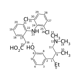 CCC(c1cccc(O)c1)C(C)CN(C)C.O=C(O)Cc1ccccc1Nc1c(Cl)cccc1Cl